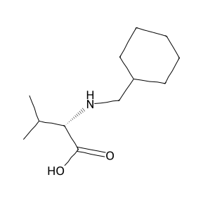 CC(C)[C@H](NCC1CCCCC1)C(=O)O